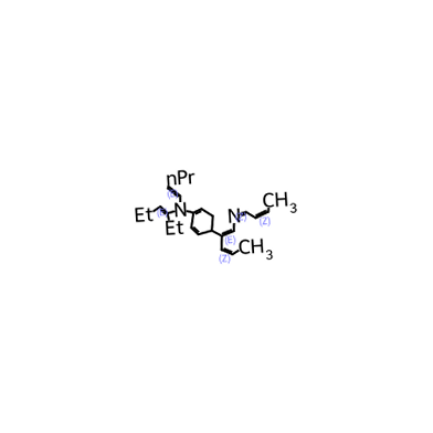 C\C=C/C=N\C=C(\C=C/C)C1C=CC(N(/C=C/CCC)/C(=C/CC)CC)=CC1